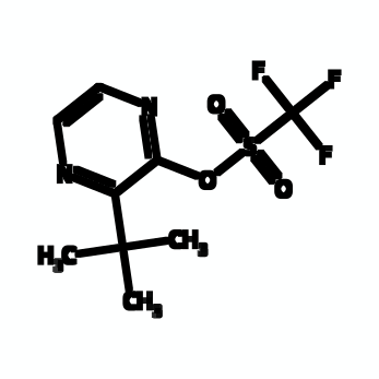 CC(C)(C)c1nccnc1OS(=O)(=O)C(F)(F)F